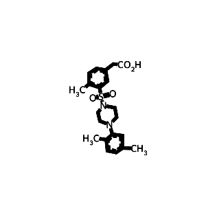 Cc1ccc(C)c(N2CCN(S(=O)(=O)c3cc(CC(=O)O)ccc3C)CC2)c1